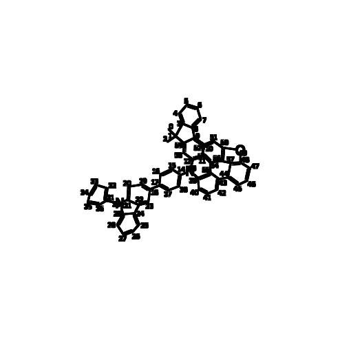 CC1(C)c2ccccc2-c2ccc(N(c3ccc(-c4ccc5c(c4)c4ccccc4n5-c4ccccc4)cc3)c3cccc4c5cccc6oc7cccc(c34)c7c65)cc21